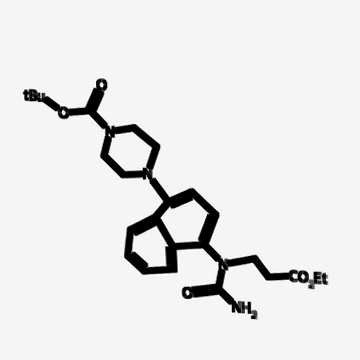 CCOC(=O)CCN(C(N)=O)c1ccc(N2CCN(C(=O)OC(C)(C)C)CC2)c2ccccc12